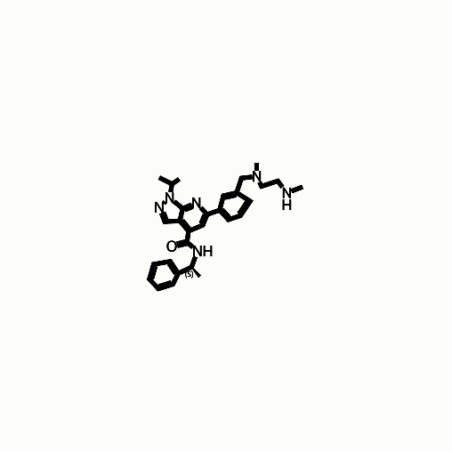 CNCCN(C)Cc1cccc(-c2cc(C(=O)N[C@@H](C)c3ccccc3)c3cnn(C(C)C)c3n2)c1